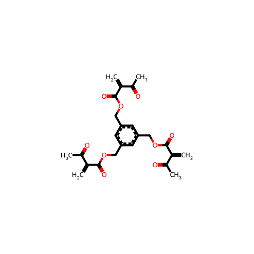 C=C(C(C)=O)C(=O)OCc1cc(COC(=O)C(=C)C(C)=O)cc(COC(=O)C(=C)C(C)=O)c1